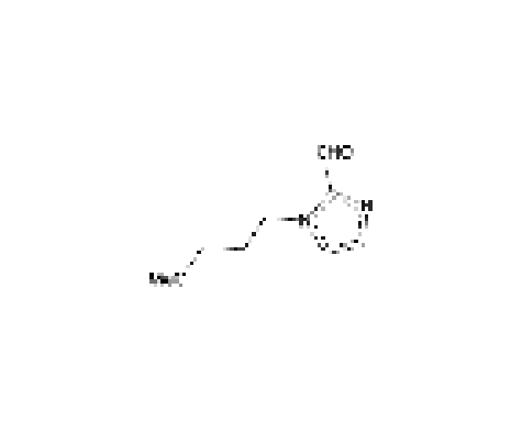 COCCCn1ccnc1C=O